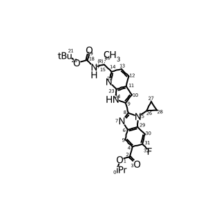 CC(C)OC(=O)c1cc2nc(-c3cc4ccc([C@@H](C)NC(=O)OC(C)(C)C)nc4[nH]3)n(C3CC3)c2cc1F